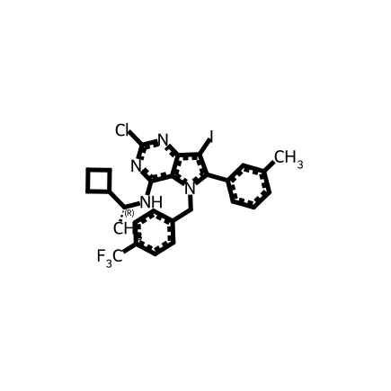 Cc1cccc(-c2c(I)c3nc(Cl)nc(N[C@H](C)C4CCC4)c3n2Cc2ccc(C(F)(F)F)cc2)c1